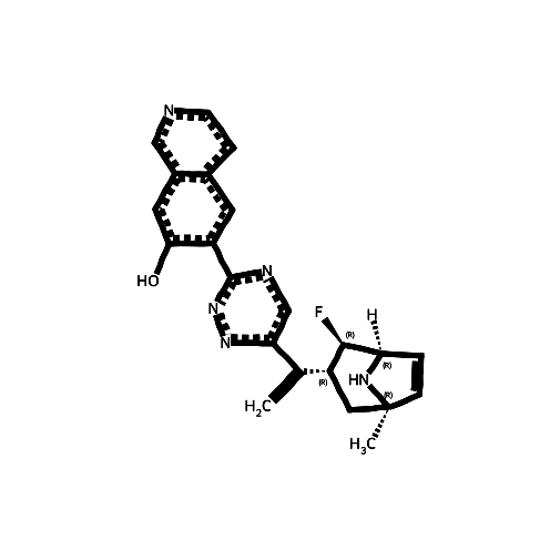 C=C(c1cnc(-c2cc3ccncc3cc2O)nn1)[C@H]1C[C@]2(C)C=C[C@@H](N2)[C@@H]1F